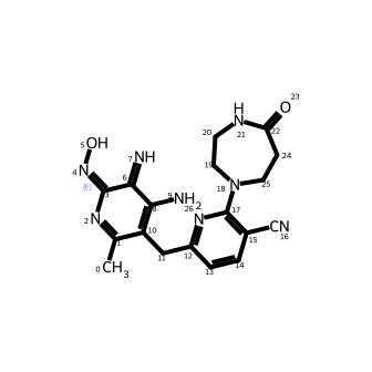 CC1=N/C(=N/O)C(=N)C(N)=C1Cc1ccc(C#N)c(N2CCNC(=O)CC2)n1